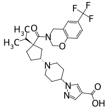 CC(C)[C@]1(C(=O)N2COc3ccc(C(F)(F)F)cc3C2)CC[C@@H](N2CCC(n3cc(C(=O)O)cn3)CC2)C1